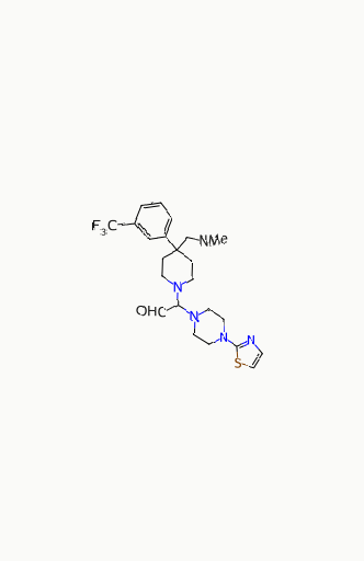 CNCC1(c2cccc(C(F)(F)F)c2)CCN(C(C=O)N2CCN(c3nccs3)CC2)CC1